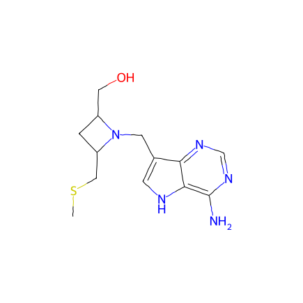 CSCC1CC(CO)N1Cc1c[nH]c2c(N)ncnc12